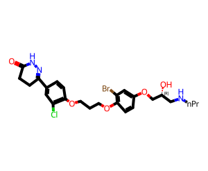 CCCNC[C@@H](O)COc1ccc(OCCCOc2ccc(C3=NNC(=O)CC3)cc2Cl)c(Br)c1